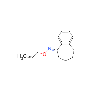 C=CCO/N=C1\CCCCc2ccccc21